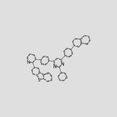 c1ccc(-c2nc(-c3ccc(-c4ccc5ccccc5c4)cc3)cc(-c3ccc(-c4cccnc4-c4ccc5sc6ccccc6c5c4)cc3)n2)cc1